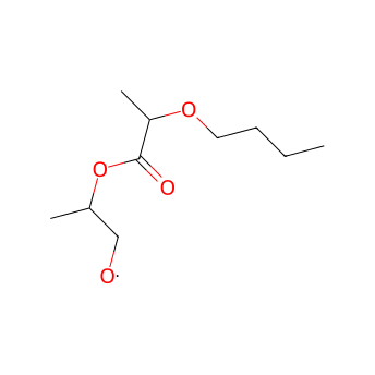 CCCCOC(C)C(=O)OC(C)C[O]